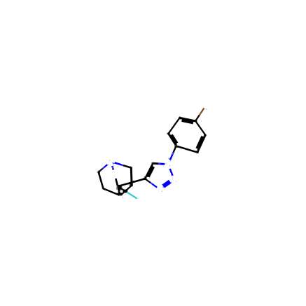 FC1(c2cn(-c3ccc(Br)cc3)nn2)CN2CCC1CC2